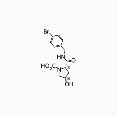 O=C(NCc1ccc(Br)cc1)[C@@H]1C[C@@H](O)CN1C(=O)O